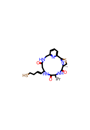 CC(C)C1NC(=O)[C@]2(C)CSC(=N2)c2cccc(n2)CNC(=O)CC(/C=C/CCS)NC1=O